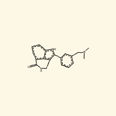 CN(C)Cc1cccc(-c2[nH]c3cccc4c3c2CNC4=O)c1